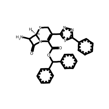 NC1C(=O)N2C(C(=O)OC(c3ccccc3)c3ccccc3)=C(c3nnc(-c4ccccc4)s3)CS[C@H]12